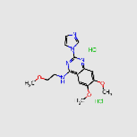 COCCNc1nc(-n2ccnc2)nc2cc(OC)c(OC)cc12.Cl.Cl